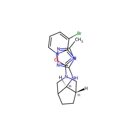 Cc1noc(N2CC3CC[C@@H](C2)[C@@H]3Nc2nc3c(Br)cccn3n2)n1